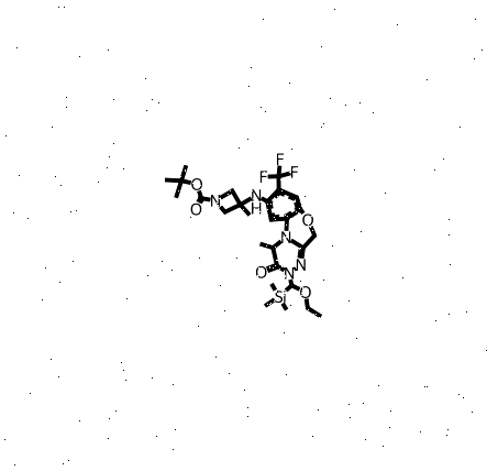 CCOC(N1N=C2COc3cc(C(F)(F)F)c(NC4(C)CN(C(=O)OC(C)(C)C)C4)cc3N2C(C)C1=O)[Si](C)(C)C